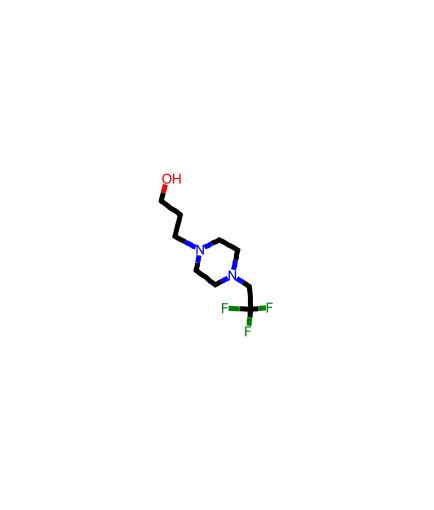 OCCCN1CCN(CC(F)(F)F)CC1